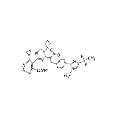 COc1ncnc(C2CC2)c1-c1ncc2c(n1)N(Cc1ccc(-c3nc(C(C)(F)F)cn3C)cc1)C(=O)OC21CCC1